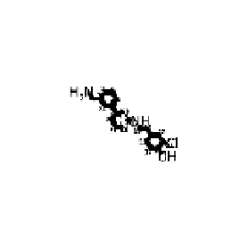 NCc1cccc(-c2ccnc(NCCc3ccc(O)c(Cl)c3)n2)c1